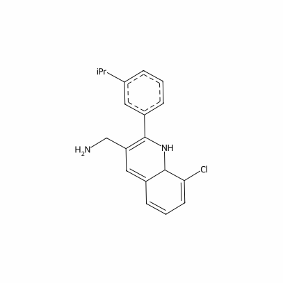 CC(C)c1cccc(C2=C(CN)C=C3C=CC=C(Cl)C3N2)c1